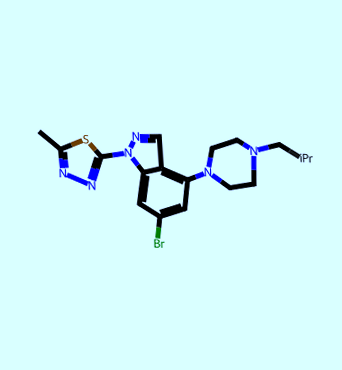 Cc1nnc(-n2ncc3c(N4CCN(CC(C)C)CC4)cc(Br)cc32)s1